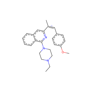 CCN1CCN(c2nc(/C(C)=C\c3ccc(OC)cc3)cc3ccccc23)CC1